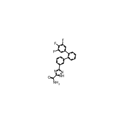 NC(=O)c1nc(-c2cccc(-c3ccccc3-c3cc(F)c(F)c(F)c3)c2)n[nH]1